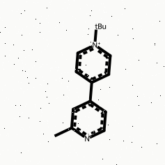 Cc1cc(-c2cc[n+](C(C)(C)C)cc2)ccn1